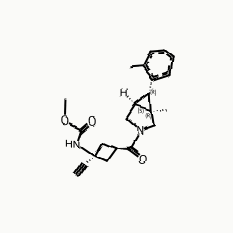 C#C[C@]1(NC(=O)OC)C[C@@H](C(=O)N2C[C@H]3[C@H](c4ccccc4C)[C@@]3(C)C2)C1